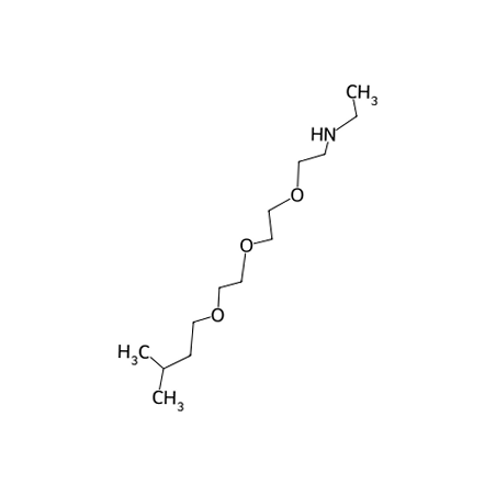 CCNCCOCCOCCOCCC(C)C